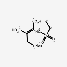 CCCCCCCCCCC(=CC(=O)O)C(=O)O.CCS(=O)(=O)O